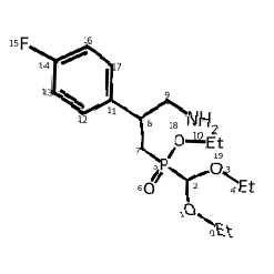 CCOC(OCC)P(=O)(CC(CN)c1ccc(F)cc1)OCC